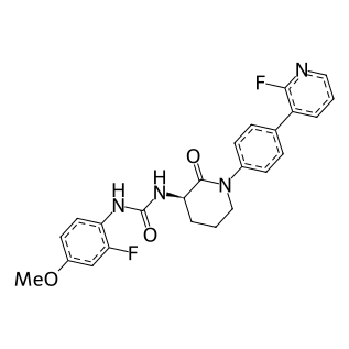 COc1ccc(NC(=O)N[C@@H]2CCCN(c3ccc(-c4cccnc4F)cc3)C2=O)c(F)c1